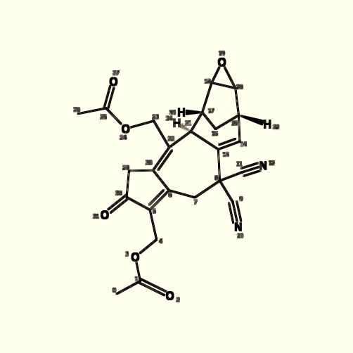 CC(=O)OCC1=C2CC(C#N)(C#N)C3=C[C@@H]4C[C@@H](C5OC54)[C@@H]3C(COC(C)=O)=C2CC1=O